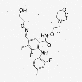 O=C(NOCCN1CCOCC1)c1cc(C=NOCCO)c(F)c(F)c1Nc1ccc(I)cc1F